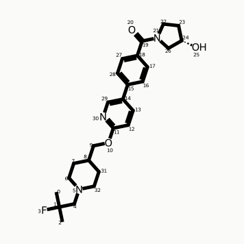 CC(C)(F)CN1CCC(COc2ccc(-c3ccc(C(=O)N4CC[C@H](O)C4)cc3)cn2)CC1